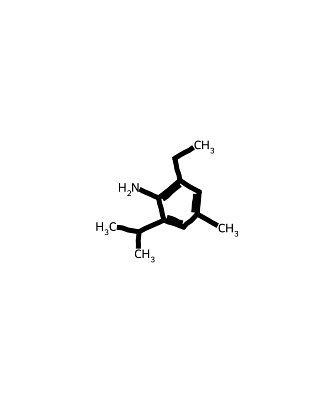 CCc1cc(C)cc(C(C)C)c1N